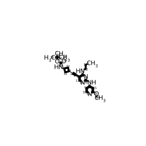 CCCNc1nc(Nc2ccnc(OC)c2)ncc1C#C[C@H]1C[C@@H](NC(=O)OC(C)(C)C)C1